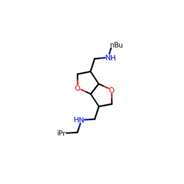 CCCCNCC1COC2C(CNCC(C)C)COC12